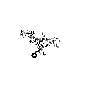 C[C@@H](O)[C@H](NC(=O)[C@H](CC(F)NC(=O)OC(C)(C)C)NC(=O)[C@@H](N)Cc1ccccc1)C(=O)N[C@@H](CNC(=O)OC(C)(C)C)C(=O)O